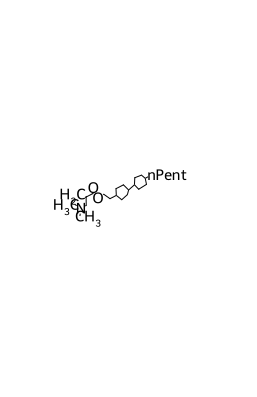 C=C(CN(C)C)C(=O)OCCC1CCC(C2CCC(CCCCC)CC2)CC1